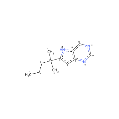 CCCC(C)(C)c1cc2ncncc2[nH]1